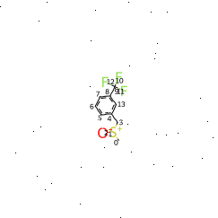 C[S+]([O-])Cc1cccc(C(F)(F)F)c1